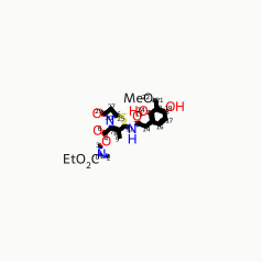 CCOC(=O)N(C)COC(=O)C1=C(C)C(NC(=O)Cc2ccc(O)c(COC)c2O)SC2CC(=O)N12